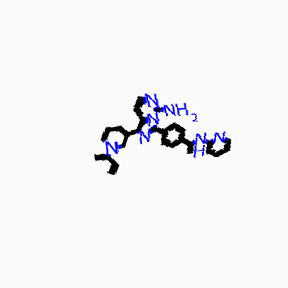 C=CC(=C)N1CCCC(c2nc(-c3ccc(C(=C)Nc4ccccn4)cc3)n3c(N)nccc23)C1